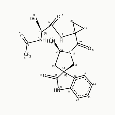 CC(C)(C)[C@H](NC(=O)C(F)(F)F)C(=O)NC1(C(=O)N2C[C@]3(C[C@H]2N)C(=O)Nc2ccccc23)CC1